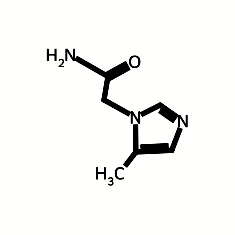 Cc1cncn1CC(N)=O